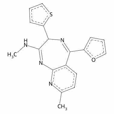 CNC1=Nc2nc(C)ccc2C(c2ccco2)=NC1c1cccs1